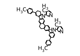 Cc1ccc(C2=Cc3c(n(-c4cnccc4C)c4cc5c(cc34)CCc3cc(-c4cc(-c6ccc(C)cc6)ccc4Nc4cnccc4C)ccc3-5)CC2)cc1